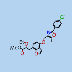 CCOC(Cc1ccc(OCc2nc(-c3ccc(Cl)cc3)oc2C)c2ccoc12)C(=O)OC